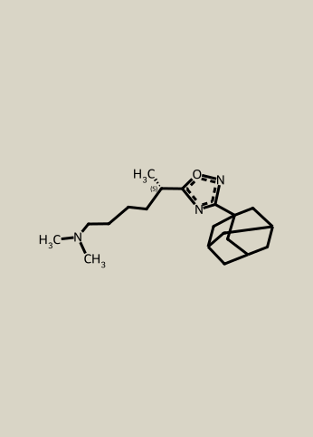 C[C@@H](CCCCN(C)C)c1nc(C23CC4CC(CC(C4)C2)C3)no1